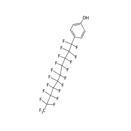 Oc1ccc(C(F)(F)C(F)(F)C(F)(F)C(F)(F)C(F)(F)C(F)(F)C(F)(F)C(F)(F)C(F)(F)C(F)(F)F)cc1